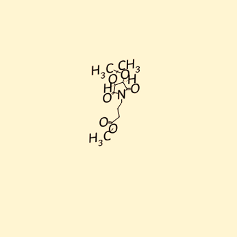 COC(=O)CCCN1C(=O)[C@H]2OC(C)(C)O[C@H]2C1=O